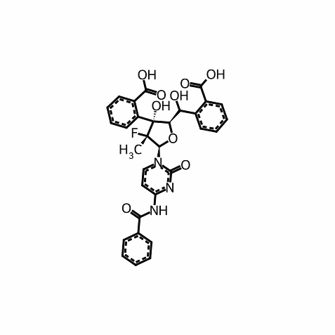 C[C@]1(F)[C@H](n2ccc(NC(=O)c3ccccc3)nc2=O)O[C@H](C(O)c2ccccc2C(=O)O)[C@]1(O)c1ccccc1C(=O)O